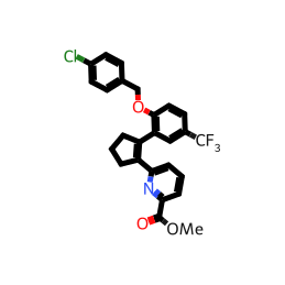 COC(=O)c1cccc(C2=C(c3cc(C(F)(F)F)ccc3OCc3ccc(Cl)cc3)CCC2)n1